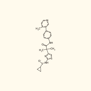 Cc1ccncc1-c1ccc(NC(=O)C(C)(C)c2csc(N[S+]([O-])C3CC3)n2)cc1